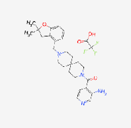 CC1(C)Cc2c(CN3CCC4(CC3)CCN(C(=O)c3ccncc3N)CC4)cccc2O1.O=C(O)C(F)(F)F